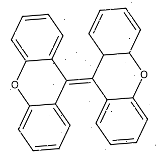 C1=CC2Oc3ccccc3C(=C3c4ccccc4Oc4ccccc43)C2C=C1